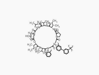 CC[C@H](C)[C@@H]1NC(=O)[C@@H]2CCCN2C(=O)[C@H](Cc2cccc(-c3cccc(C(F)(F)F)c3)c2)N(C)C(=O)[C@H](Cc2ccccc2)NC(=O)C(C(C)C)N(C)C(=O)[C@@H]([C@@H](C)CC)OC(=O)[C@H](C(C)(C)O)N(C)C(=O)[C@H](CC(C)C)NC(=O)C(C(C)C)N(C)C1=O